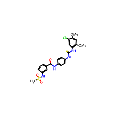 COc1cc(OC)c(NC(=S)Nc2ccc(NC(=O)c3cccc(NS(C)(=O)=O)c3)cc2)cc1Cl